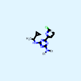 CCN(CC)c1nc(NC(C)C2CC2)nc(-c2cccc(Cl)n2)n1